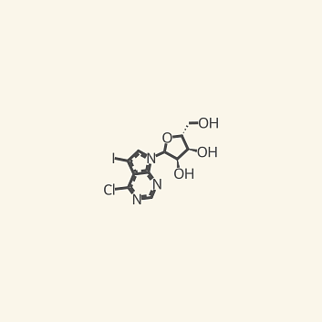 OC[C@H]1OC(n2cc(I)c3c(Cl)ncnc32)[C@H](O)[C@@H]1O